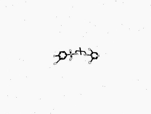 CC(C)(CNc1c(Cl)cncc1Cl)CNS(=O)(=O)c1ccc(F)c(Cl)c1